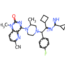 CC1CN(C(/C(=N/C(=N)C2CC2)C2CCC2)c2ccc(F)cc2)CCN1c1nc(=O)n(C)c2ccc(C#N)nc12